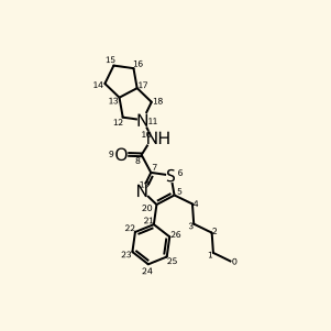 CCCCCc1sc(C(=O)NN2CC3CCCC3C2)nc1-c1ccccc1